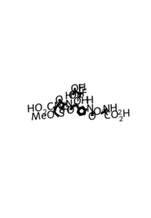 COC1=C(C(=O)O)N2C(=O)[C@@H](NC(=O)[C@H](O)c3cccc(NC(=O)OC[C@@H](N)C(=O)O)c3)[C@H]2SC1.O=C(O)C(F)(F)F